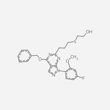 COc1cc(F)ccc1-n1ncc2c(OCc3ccccc3)nc(CCCSCCO)nc21